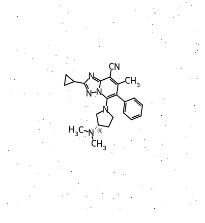 Cc1c(-c2ccccc2)c(N2CC[C@H](N(C)C)C2)n2nc(C3CC3)nc2c1C#N